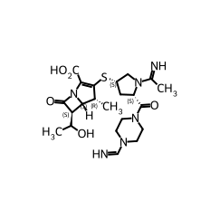 CC(=N)N1C[C@@H](SC2=C(C(=O)O)N3C(=O)[C@H](C(C)O)[C@H]3[C@H]2C)C[C@H]1C(=O)N1CCN(C=N)CC1